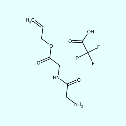 C=CCOC(=O)CNC(=O)CN.O=C(O)C(F)(F)F